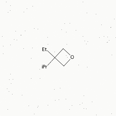 [CH2]C(C)C1(CC)COC1